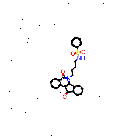 O=C1c2ccccc2-c2c1c1ccccc1c(=O)n2CCCCNS(=O)(=O)c1ccccc1